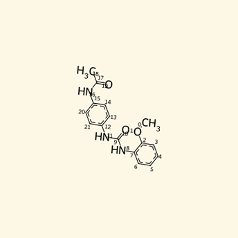 COc1ccccc1NC(=O)Nc1ccc(NC(C)=O)cc1